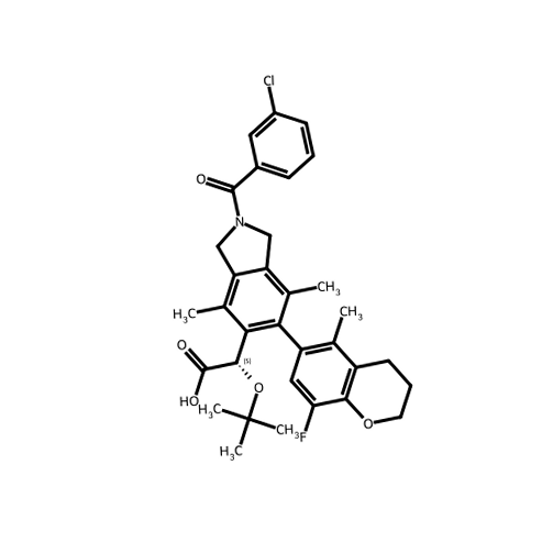 Cc1c(-c2c(C)c3c(c(C)c2[C@H](OC(C)(C)C)C(=O)O)CN(C(=O)c2cccc(Cl)c2)C3)cc(F)c2c1CCCO2